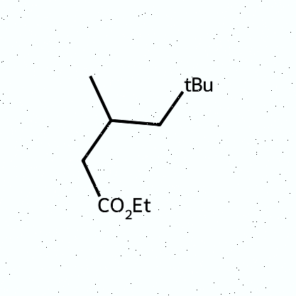 [CH2]COC(=O)CC(C)CC(C)(C)C